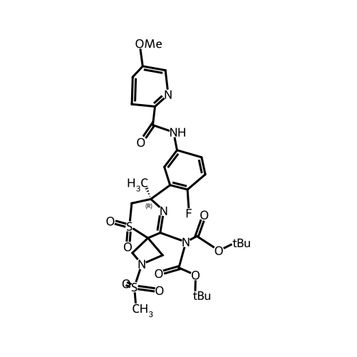 COc1ccc(C(=O)Nc2ccc(F)c([C@]3(C)CS(=O)(=O)C4(CN(S(C)(=O)=O)C4)C(N(C(=O)OC(C)(C)C)C(=O)OC(C)(C)C)=N3)c2)nc1